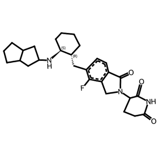 O=C1CCC(N2Cc3c(ccc(C[C@H]4CCCC[C@@H]4NC4CC5CCCC5C4)c3F)C2=O)C(=O)N1